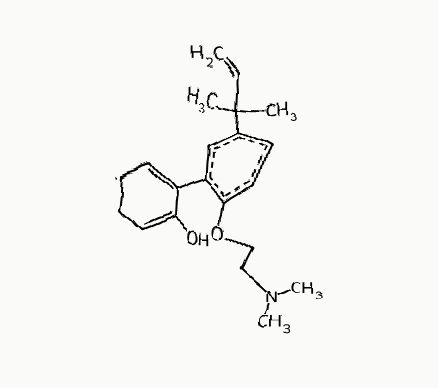 C=CC(C)(C)c1ccc(OCCN(C)C)c(C2=C[CH]CC=C2O)c1